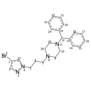 Brc1cnn(CCCN2CCN(C(c3ccccc3)c3ccccc3)CC2)c1